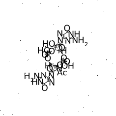 CC(=O)C1[C@H]2OP(=O)(O)OC[C@H]3O[C@@H](n4cnc5c(=O)[nH]c(N)nc54)[C@@H](O)C3OP(=O)(O)OC[C@H]2O[C@H]1n1cnc2c(=O)[nH]c(N)nc21